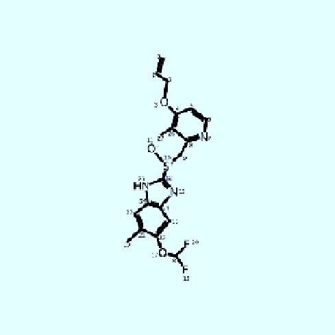 C=CCOc1ccnc(C[S+]([O-])c2nc3cc(OC(F)F)c(C)cc3[nH]2)c1C